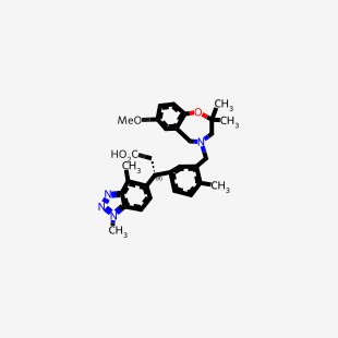 COc1ccc2c(c1)CN(Cc1cc([C@@H](CC(=O)O)c3ccc4c(nnn4C)c3C)ccc1C)CC(C)(C)O2